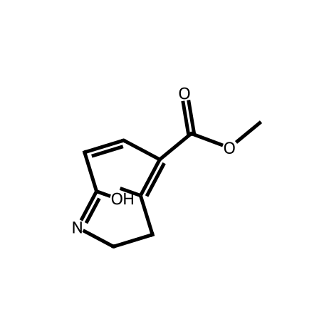 COC(=O)C1=C(/C)CC/N=C(O)/C=C\1